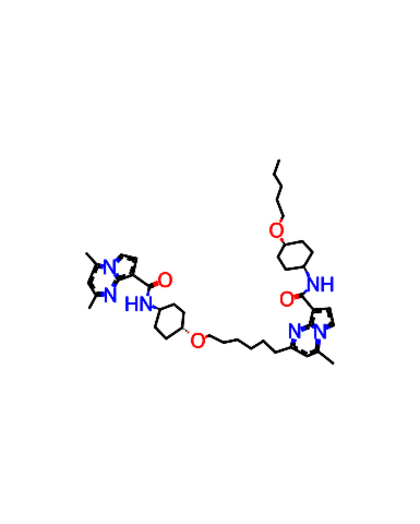 CCCCCO[C@H]1CC[C@@H](NC(=O)c2ccn3c(C)cc(CCCCCCO[C@H]4CC[C@H](NC(=O)c5ccn6c(C)cc(C)nc56)CC4)nc23)CC1